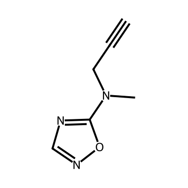 C#CCN(C)c1ncno1